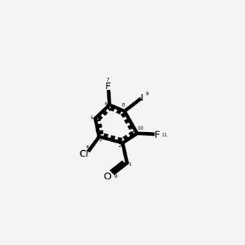 O=Cc1c(Cl)cc(F)c(I)c1F